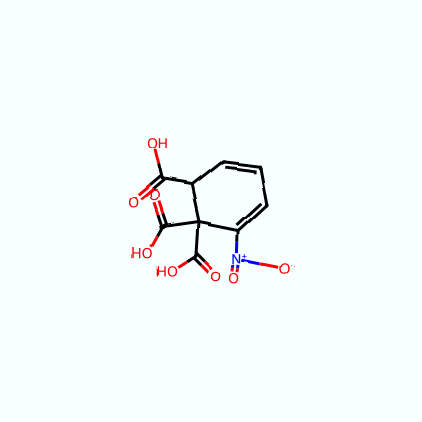 O=C(O)C1C=CC=C([N+](=O)[O-])C1(C(=O)O)C(=O)O